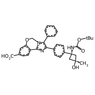 CC(C)(C)OC(=O)N[C@]1(c2ccc(-c3nc4n(c3-c3ccccc3)COc3cc(C(=O)O)ccc3-4)cc2)C[C@@](C)(O)C1